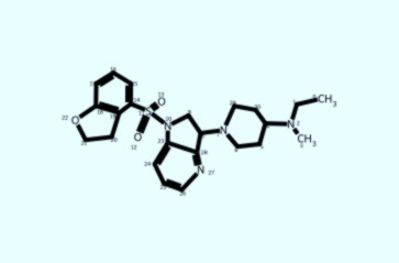 CCN(C)C1CCN(C2CN(S(=O)(=O)c3cccc4c3CCO4)c3cccnc32)CC1